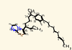 CCCCCCCCc1ccc(C(C)CCCC(CC)c2csc3nccn23)cc1